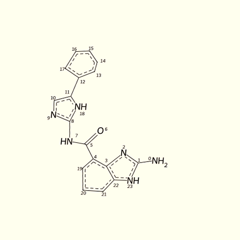 Nc1nc2c(C(=O)Nc3ncc(-c4ccccc4)[nH]3)cccc2[nH]1